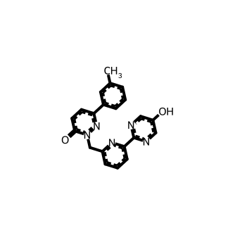 Cc1cccc(-c2ccc(=O)n(Cc3cccc(-c4ncc(O)cn4)n3)n2)c1